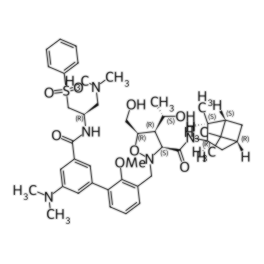 COc1c(CN2O[C@@H](CO)[C@@H]([C@H](C)O)[C@H]2C(=O)N[C@@H]2C[C@H]3C[C@@H]([C@@H]2C)C3(C)C)cccc1-c1cc(C(=O)N[C@H](CN(C)C)CS(=O)(=O)c2ccccc2)cc(N(C)C)c1